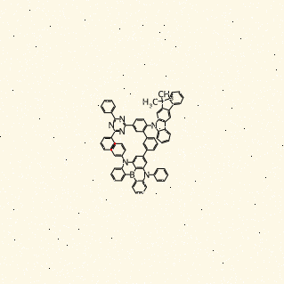 CC1(C)c2ccccc2-c2cc3c4ccccc4n(-c4ccc(-c5nc(-c6ccccc6)nc(-c6ccccc6)n5)cc4-c4cccc(-c5cc6c7c(c5)N(c5ccccc5)c5ccccc5B7c5ccccc5N6c5ccccc5)c4)c3cc21